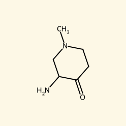 CN1CCC(=O)C(N)C1